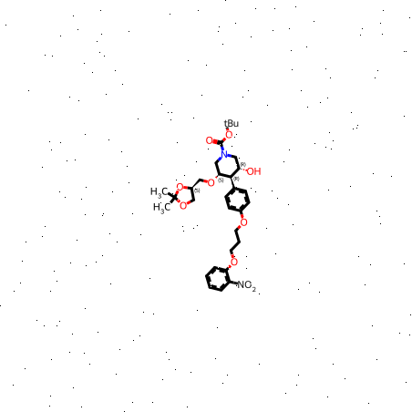 CC(C)(C)OC(=O)N1C[C@H](O)[C@@H](c2ccc(OCCCOc3ccccc3[N+](=O)[O-])cc2)[C@H](OC[C@H]2COC(C)(C)O2)C1